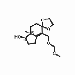 COCOCC1=C2CC[C@@H](O)[C@]2(C)CCC12OCCO2